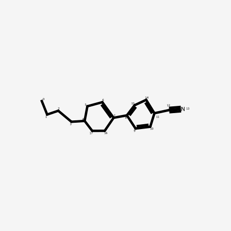 CCCCC1CC=C(c2ccc(C#N)cc2)CC1